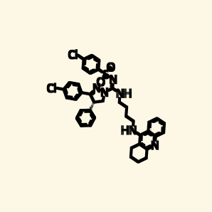 O=S(=O)(/N=C(/NCCCCNc1c2c(nc3ccccc13)CCCC2)N1C[C@H](c2ccccc2)C(c2ccc(Cl)cc2)=N1)c1ccc(Cl)cc1